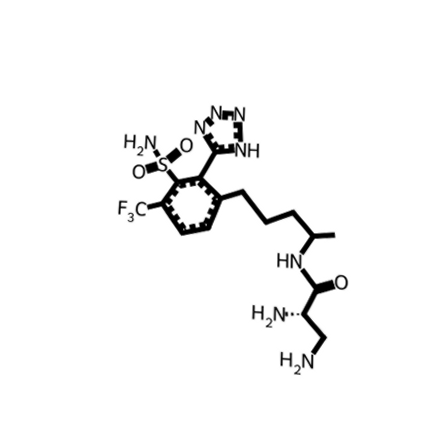 CC(CCCc1ccc(C(F)(F)F)c(S(N)(=O)=O)c1-c1nnn[nH]1)NC(=O)[C@@H](N)CN